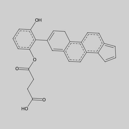 O=C(O)CCC(=O)Oc1cccc(O)c1C1=CCc2c(ccc3c4c(ccc23)=CC=C4)=C1